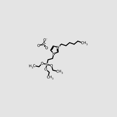 CCCCCC[n+]1ccn(CC[Si](OCC)(OCC)OCC)c1.O=[N+]([O-])[O-]